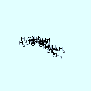 CCCC(CCC)C(=O)Nc1cnn([C@@H]2O[C@H](COC(=O)[C@@H](N)[C@@H](C)CC)[C@H](O)[C@@H]2O)c(=O)n1